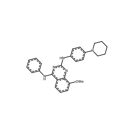 COc1cccc2c(Nc3ccccc3)nc(Nc3ccc(N4CCCCC4)cc3)nc12